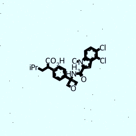 CC(C)CC(C(=O)O)c1ccc(C2(NC(=O)c3cc4c(Cl)c(Cl)ccc4n3C)COC2)cc1